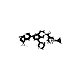 Cc1c[nH]c2ncc(-c3cc4c(c(C5COCCN5)c3)CN(C(=O)/C(C=N)=C/NC3CC3)CC4)cc12